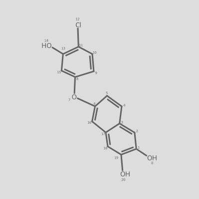 Oc1cc2ccc(Oc3ccc(Cl)c(O)c3)cc2cc1O